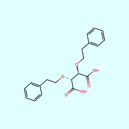 O=C(O)[C@H](OCCc1ccccc1)[C@@H](OCCc1ccccc1)C(=O)O